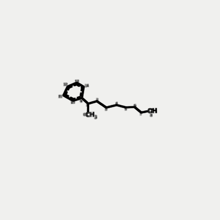 CC(CCCCCCO)c1ccccc1